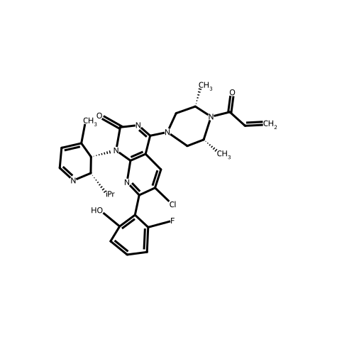 C=CC(=O)N1[C@H](C)CN(c2nc(=O)n([C@H]3C(C)=CC=N[C@H]3C(C)C)c3nc(-c4c(O)cccc4F)c(Cl)cc23)C[C@@H]1C